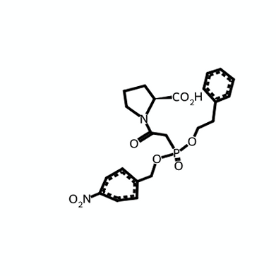 O=C(O)[C@@H]1CCCN1C(=O)CP(=O)(OCCc1ccccc1)OCc1ccc([N+](=O)[O-])cc1